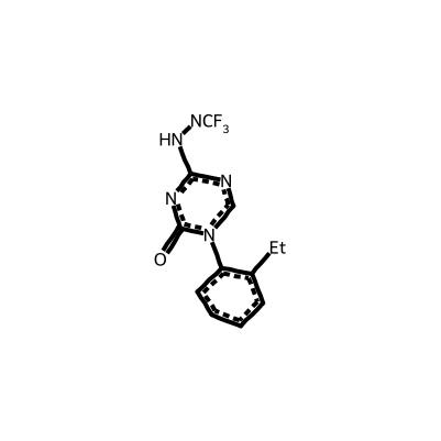 CCc1ccccc1-n1cnc(NNC(F)(F)F)nc1=O